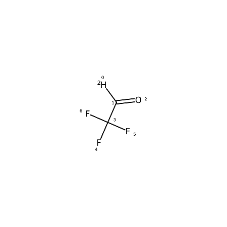 [2H]C(=O)C(F)(F)F